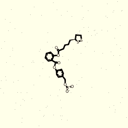 O=C(CCCC[C@H]1CCSS1)Oc1ccccc1C(=O)Oc1ccc(CO[N+](=O)[O-])cc1